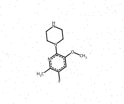 COc1cc(F)c(C)nc1N1CCNCC1